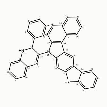 c1ccc(C2Nc3ccccc3N=C2n2c3cc4sc5ccccc5c4cc3c3c4ccccc4ccc32)cc1